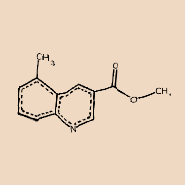 COC(=O)c1cnc2cccc(C)c2c1